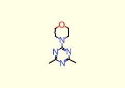 Cc1nc(C)nc(N2CCOCC2)n1